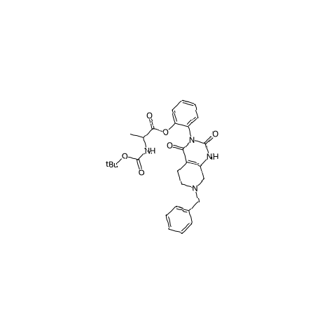 CC(NC(=O)OC(C)(C)C)C(=O)Oc1ccccc1-n1c(=O)[nH]c2c(c1=O)CCN(Cc1ccccc1)C2